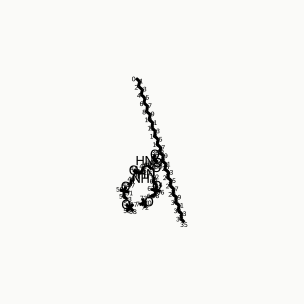 CCCCCCCCCCCCCCCCCCC(CCCCCCCCCCCCCCCCC)OC(=O)N[C@H](CCC(=O)NCCOC(C)(C)CCOC(C)(C)C)C(=O)NCCOC(C)(C)CCOC(C)(C)C